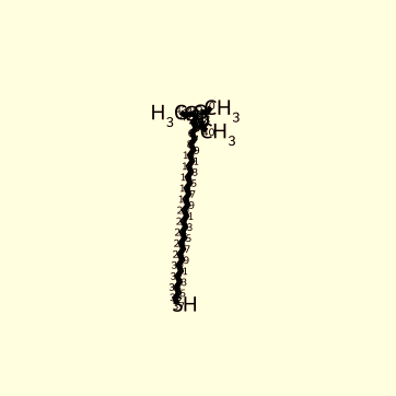 CCO[Si](CCCCCCCCCCCCCCCCCCCCCCCCCCCCCCCCCS)(OCC)OCC